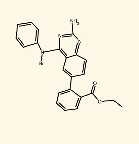 CCOC(=O)c1ccccc1-c1ccc2nc(N)nc(N(Br)c3ccccc3)c2c1